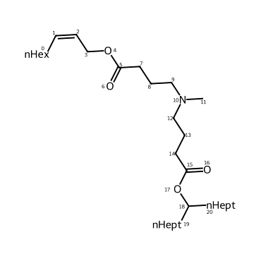 CCCCCC/C=C\COC(=O)CCCN(C)CCCC(=O)OC(CCCCCCC)CCCCCCC